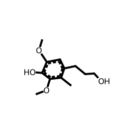 COc1cc(CCCO)c(C)c(OC)c1O